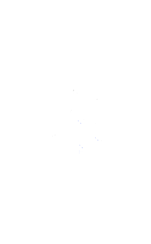 CC(C)(C)C1NN=CN1C(F)(F)C(F)(F)F